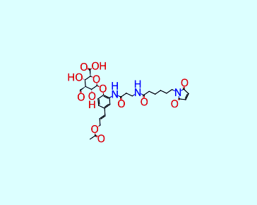 CC(=O)OC/C=C/c1ccc(O[C@@H]2O[C@H](C(=O)O)[C@@H](O)[C@H](C=O)[C@H]2O)c(NC(=O)CCNC(=O)CCCCCN2C(=O)C=CC2=O)c1